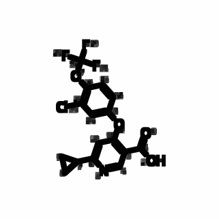 O=C(O)c1cnc(C2CC2)cc1Oc1ccc(OC(F)(F)F)c(Cl)c1